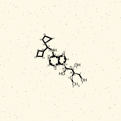 CO[C@H](CO)[C@@H](O)[C@@H](O)n1cnc2c(NC(C3CCC3)C3CCC3)ncnc21